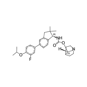 CC(C)Oc1ccc(-c2ccc3c(c2)CC(C)(C)[C@H]3NC(=O)O[C@@H]2CN3CCC2CC3)cc1F